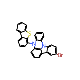 Brc1ccc2c(c1)c1cccc3c1n2-c1ccccc1N3c1cccc2c1sc1ccccc12